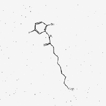 O=C(O)CCCCCCCCC(=O)Nc1cc(F)ccc1O